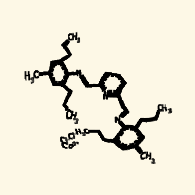 CCCc1cc(C)cc(CCC)c1N=Cc1cccc(C=Nc2c(CCC)cc(C)cc2CCC)n1.[Cl-].[Cl-].[Co+2]